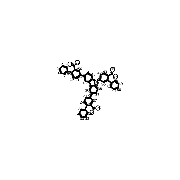 O=c1oc2ccccc2c2ccc(-c3ccc4c(c3)c3cc(-c5ccc6c(c5)c(=O)oc5ccccc56)ccc3n4-c3ccc4c(=O)oc5ccccc5c4c3)cc12